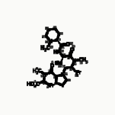 CC(C)C(C(=O)O)N(C)C(=O)[C@@H]1CCCN1C[C@H](C(C)C)N(C)C(=O)[C@@H](NC(=O)[C@H]1CCCCN1C)C(C)(C)C